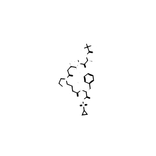 CC[C@H](C)[C@@H]([C@@H](CC(=O)N1CCC[C@H]1[C@H](OC)[C@@H](C)C(=O)N[C@@H](Cc1ccccc1)C(=O)NS(=O)(=O)C1CC1)OC)N(C)C(=O)[C@@H](NC(=O)C(C)(C)N)C(C)C